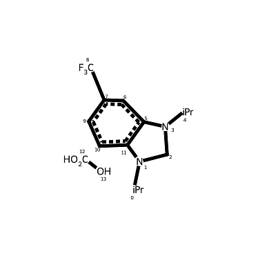 CC(C)N1CN(C(C)C)c2cc(C(F)(F)F)ccc21.O=C(O)O